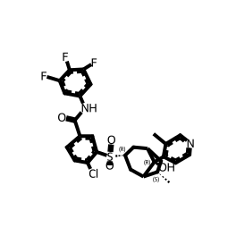 Cc1cnccc1[C@@]1(O)C2C[C@@H](S(=O)(=O)c3cc(C(=O)Nc4cc(F)c(F)c(F)c4)ccc3Cl)CC1[C@@H](C)C2